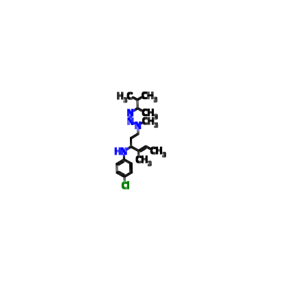 C/C=C(\C)C(CCN(C)/N=N\C(C)C(C)C)Nc1ccc(Cl)cc1